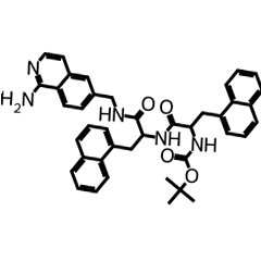 CC(C)(C)OC(=O)NC(Cc1cccc2ccccc12)C(=O)NC(Cc1cccc2ccccc12)C(=O)NCc1ccc2c(N)nccc2c1